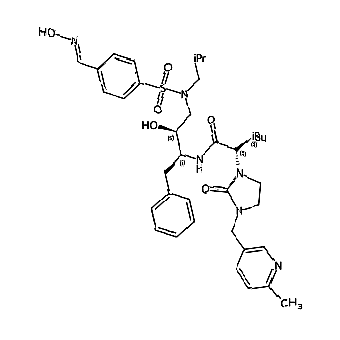 CC[C@H](C)[C@@H](C(=O)N[C@@H](Cc1ccccc1)[C@@H](O)CN(CC(C)C)S(=O)(=O)c1ccc(C=NO)cc1)N1CCN(Cc2ccc(C)nc2)C1=O